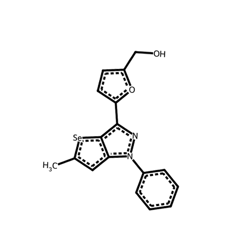 Cc1cc2c([se]1)c(-c1ccc(CO)o1)nn2-c1ccccc1